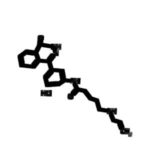 C=CCNCCCCC(=O)Nc1cccc(-c2n[nH]c(=O)c3ccccc23)c1.Cl